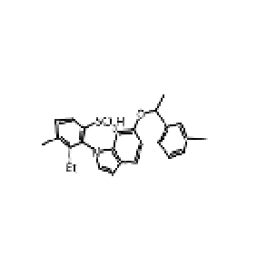 CCc1c(C)ccc(S(=O)(=O)O)c1-n1ccc2ccc(OC(C)c3cccc(C)c3)cc21